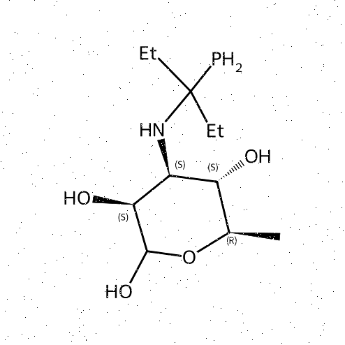 CCC(P)(CC)N[C@H]1[C@H](O)[C@@H](C)OC(O)[C@H]1O